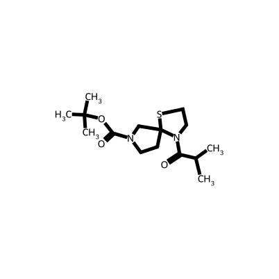 CC(C)C(=O)N1CCSC12CCN(C(=O)OC(C)(C)C)C2